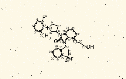 Cc1cccc(F)c1N1CCC(n2c(=O)n(Cc3ccccc3C(F)(F)F)c3c(OCCO)cccc32)C1